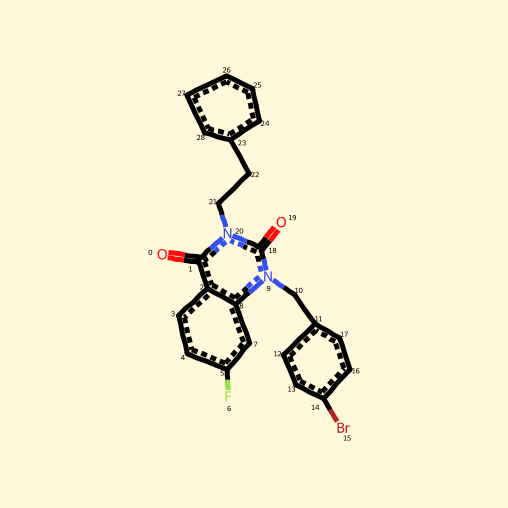 O=c1c2ccc(F)cc2n(Cc2ccc(Br)cc2)c(=O)n1CCc1ccccc1